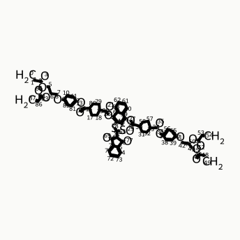 C=CC(=O)OCC(COc1ccc(OC(=O)C2CCC(C(=O)Oc3c4c(c(OC(=O)C5CCC(C(=O)Oc6ccc(OCC(COC(=O)C=C)OC(=O)C=C)cc6)CC5)c5ccccc35)SC(C3C(=O)c5ccccc5C3=O)S4)CC2)cc1)OC(=O)C=C